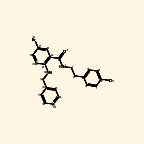 O=C(NCCc1ccc(Cl)cc1)c1cc(Br)cnc1NCc1ccncc1